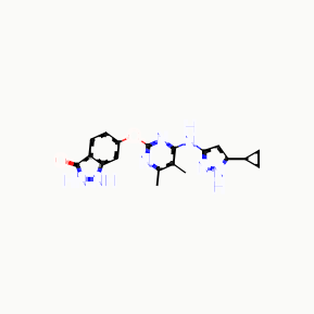 Cc1nc(Oc2ccc3c(=O)[nH][nH]c3c2)nc(Nc2cc(C3CC3)[nH]n2)c1C